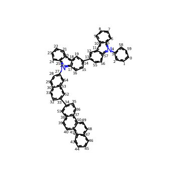 c1ccc(-n2c3ccccc3c3cc(-c4ccc5c(c4)c4ccccc4n5-c4ccc5ccc(-c6ccc7c(ccc8c9ccccc9ccc78)c6)cc5c4)ccc32)cc1